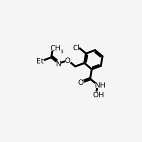 CCC(C)=NOCc1c(Cl)cccc1C(=O)NO